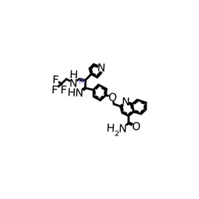 N=C(/C(=C\NCC(F)(F)F)c1ccncc1)c1ccc(OCc2cc(C(N)=O)c3ccccc3n2)cc1